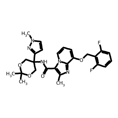 Cc1nc2c(OCc3c(F)cccc3F)cccn2c1C(=O)NC1(c2ccn(C)n2)COC(C)(C)OC1